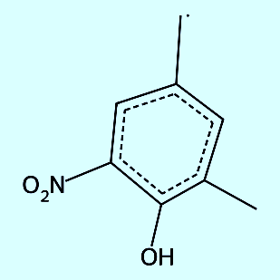 [CH2]c1cc(C)c(O)c([N+](=O)[O-])c1